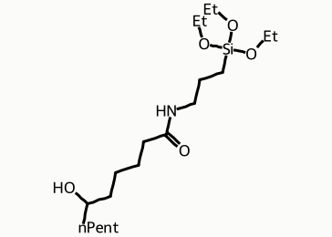 CCCCCC(O)CCCCC(=O)NCCC[Si](OCC)(OCC)OCC